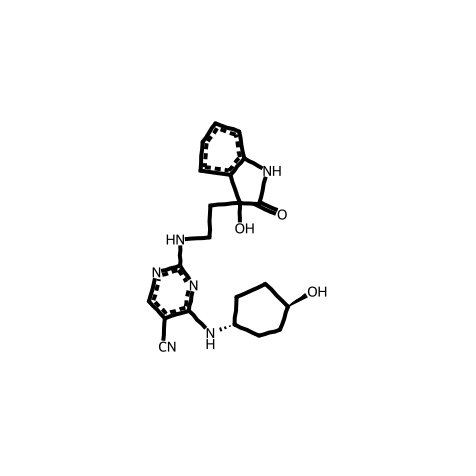 N#Cc1cnc(NCCC2(O)C(=O)Nc3ccccc32)nc1N[C@H]1CC[C@H](O)CC1